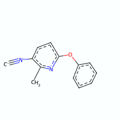 [C-]#[N+]c1ccc(Oc2ccccc2)nc1C